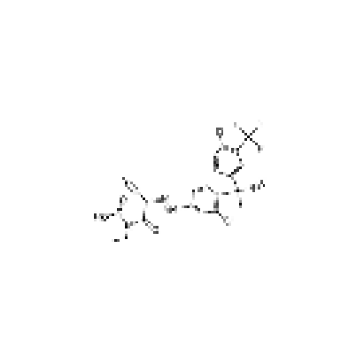 CCN(C(=O)O)C(=O)C(C#N)=NNc1ccc(C(C)(C#N)c2ccc(Cl)c(C(F)(F)F)c2)c(Cl)c1